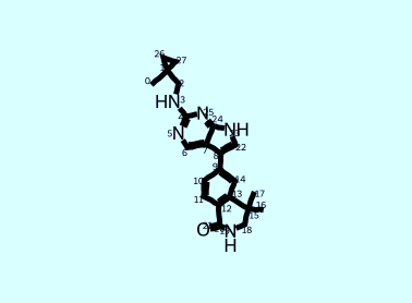 CC1(CNc2ncc3c(-c4ccc5c(c4)C(C)(C)CNC5=O)c[nH]c3n2)CC1